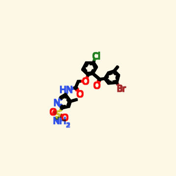 Cc1cc(Br)cc(C(=O)c2cc(Cl)ccc2OCC(=O)Nc2cnc(S(N)(=O)=O)cc2C)c1